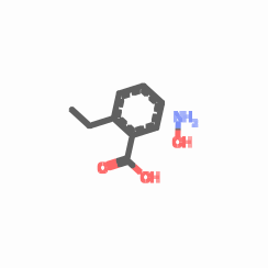 CCc1ccccc1C(=O)O.NO